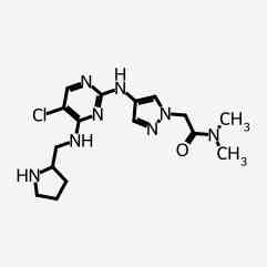 CN(C)C(=O)Cn1cc(Nc2ncc(Cl)c(NCC3CCCN3)n2)cn1